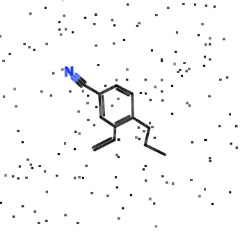 C=[C]c1cc(C#N)ccc1CCC